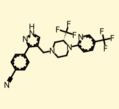 N#Cc1ccc(-c2n[nH]cc2CN2CCN(c3ccc(C(F)(F)F)cn3)[C@@H](C(F)(F)F)C2)cc1